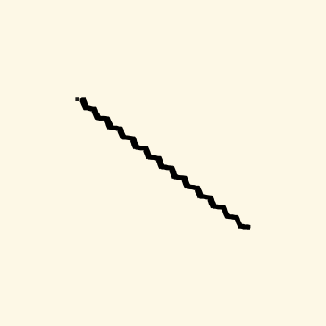 [CH]=C/C=C/C=C/C=C/C=C/C=C/C=C/C=C/C=C/C=C/C=C/CCCCC